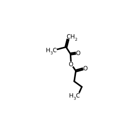 C=C(C)C(=O)OC(=O)CCC